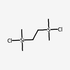 C[Si](C)(Cl)CCS(C)(C)Cl